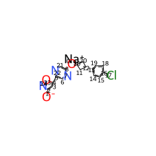 [Na+].[O-]c1cc(-c2cnc(O[C@H]3C[C@@H](c4ccc(Cl)cc4)C3)cn2)on1